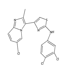 Cc1nc2ccc(Cl)cn2c1-c1csc(Nc2ccc(Cl)c(Cl)c2)n1